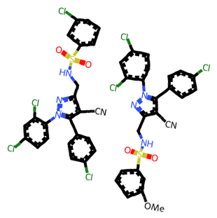 COc1cccc(S(=O)(=O)NCc2nn(-c3ccc(Cl)cc3Cl)c(-c3ccc(Cl)cc3)c2C#N)c1.N#Cc1c(CNS(=O)(=O)c2cccc(Cl)c2)nn(-c2ccc(Cl)cc2Cl)c1-c1ccc(Cl)cc1